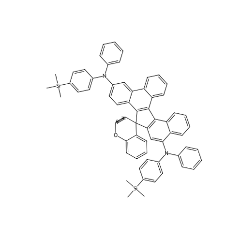 C[Si](C)(C)c1ccc(N(c2ccccc2)c2ccc3c4c(c5ccccc5c3c2)-c2c(cc(N(c3ccccc3)c3ccc([Si](C)(C)C)cc3)c3ccccc23)C42c3ccccc3Oc3ccccc32)cc1